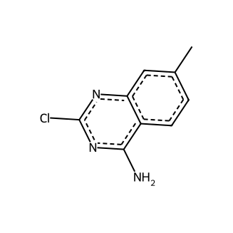 Cc1ccc2c(N)nc(Cl)nc2c1